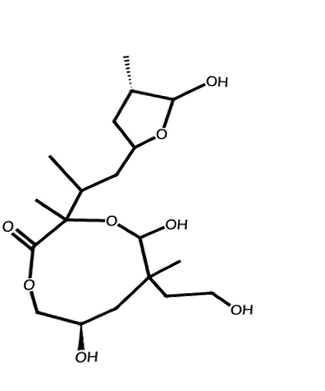 CC(CC1C[C@H](C)C(O)O1)C1(C)OC(O)C(C)(CCO)C[C@@H](O)COC1=O